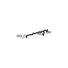 CC(O)C[C](CCCCCCCCCCCC(C)C(=O)O)CC(C)O